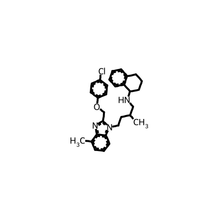 Cc1cccc2c1nc(COc1ccc(Cl)cc1)n2CCC(C)CNC1CCCc2ccccc21